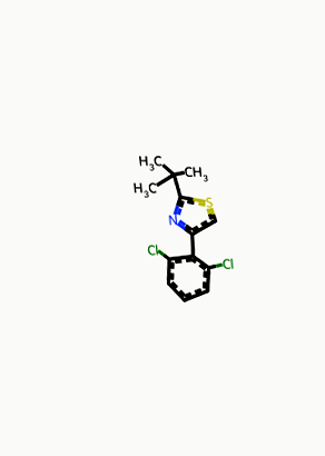 CC(C)(C)c1nc(-c2c(Cl)cccc2Cl)cs1